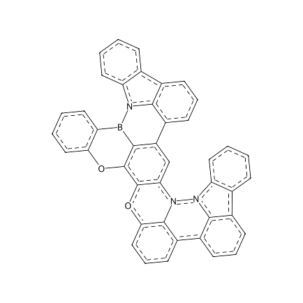 c1ccc2c(c1)Oc1c3c(cc4c1oc1cccc5c1-n4n1c4ccccc4c4cccc5c41)-c1cccc4c5ccccc5n(c14)B23